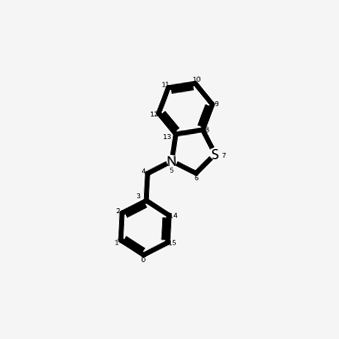 c1ccc(CN2CSc3ccccc32)cc1